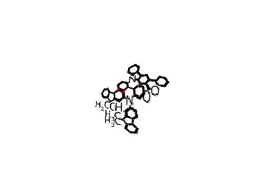 CC1(C)c2ccccc2-c2ccc(N(c3ccc4c(c3)C(C)(C)c3ccccc3-4)c3ccccc3-c3ccccc3-n3c4ccccc4c4cc5c(cc43)c(=O)oc3ccccc35)cc21